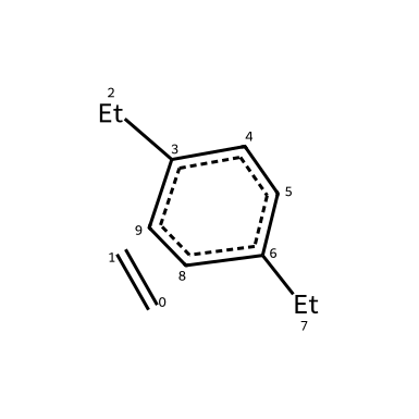 C=C.CCc1ccc(CC)cc1